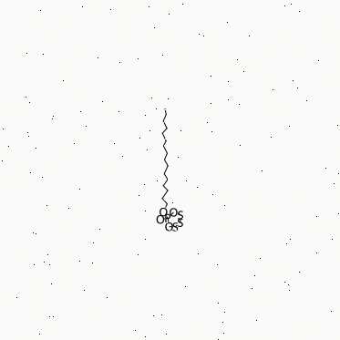 CCCCCCCCCCCCCCCCOP1(=O)OSSSO1